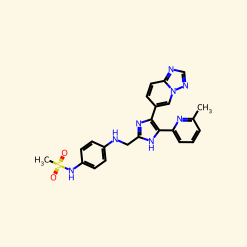 Cc1cccc(-c2[nH]c(CNc3ccc(NS(C)(=O)=O)cc3)nc2-c2ccc3ncnn3c2)n1